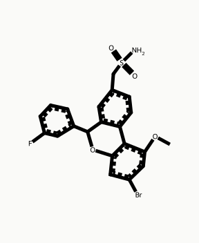 COc1cc(Br)cc2c1-c1ccc(CS(N)(=O)=O)cc1C(c1cccc(F)c1)O2